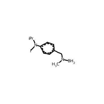 BN(C)Cc1ccc(N(I)C(C)C)cc1